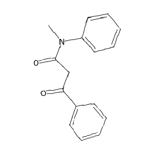 CN(C(=O)CC(=O)c1ccccc1)c1ccccc1